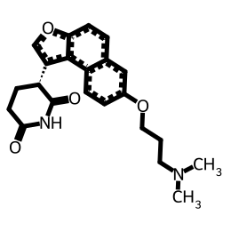 CN(C)CCCOc1ccc2c(ccc3occ([C@H]4CCC(=O)NC4=O)c32)c1